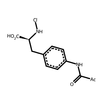 CC(=O)C(=O)Nc1ccc(C[C@H](NCl)C(=O)O)cc1